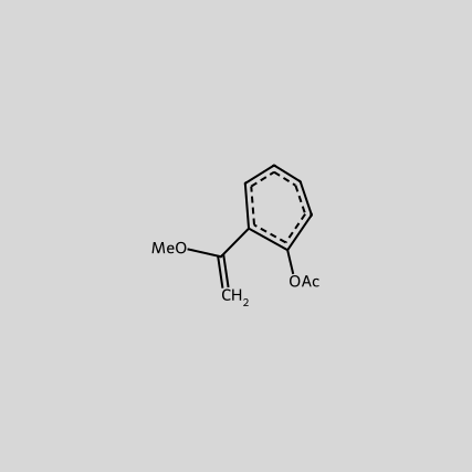 C=C(OC)c1ccccc1OC(C)=O